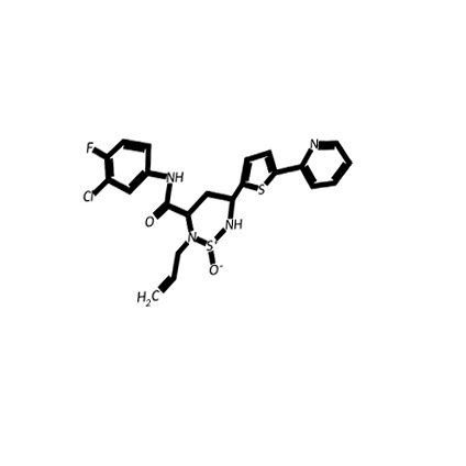 C=CCN1C(C(=O)Nc2ccc(F)c(Cl)c2)CC(c2ccc(-c3ccccn3)s2)N[S+]1[O-]